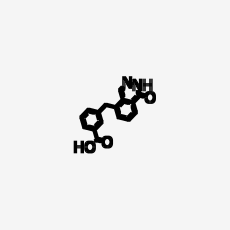 O=C(O)c1cccc(Cc2cccc3c(=O)[nH]ncc23)c1